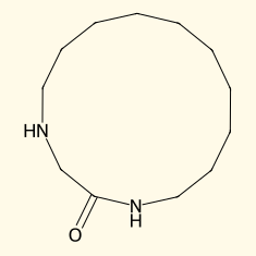 O=C1CNCCCCCCCCCCN1